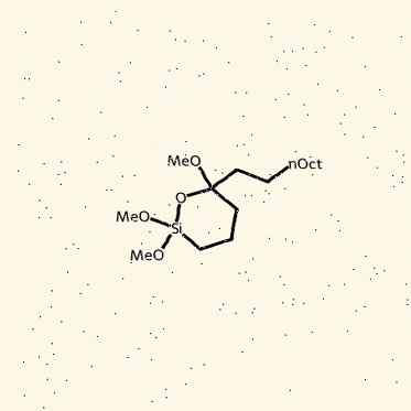 CCCCCCCCCCC1(OC)CCC[Si](OC)(OC)O1